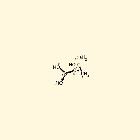 CC(=O)O.OB(O)O.[CaH2]